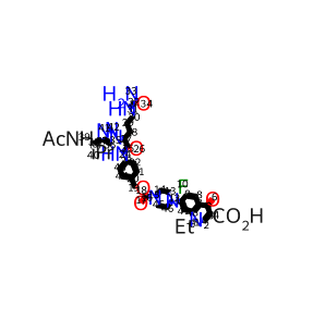 CCn1cc(C(=O)O)c(=O)c2cc(F)c(N3CCN(C(=O)OCc4ccc(NC(=O)C(CCCNC(N)=O)n5cc([C@@H](NC(C)=O)C(C)C)nn5)cc4)CC3)cc21